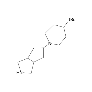 CC(C)(C)C1CCN(C2CC3CNCC3C2)CC1